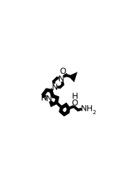 NCC(O)c1cccc(-c2cc3c(N4CCN(C(=O)C5CC5)CC4)ccnn3c2)c1